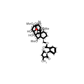 CCN1C[C@]2(COC(=O)c3ccccc3N3C(=O)CC(C)C3=O)CC[C@H](OC)[C@@]34C5C[C@@H]6[C@@H](OC)C[C@@](O)(C5[C@H]6OC)[C@](O)([C@@H](OC)C23)[C@@H]14